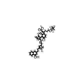 COC(=O)c1c(CCCO[Si](C)(C)C(C)(C)C)c2ccc(Cl)c(-c3c(COCc4cc(CCc5cc(O)c6ccccc6c5)n(C)n4)nn(C)c3C)c2n1C